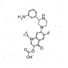 Nc1cccc(C2CN(c3cc4c(cc3F)c(=O)c(OC(=O)O)cn4C3CC3)CCN2)c1